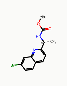 CC(C)(C)OC(=O)N[C@@H](c1ccc2ccc(Br)cc2n1)C(F)(F)F